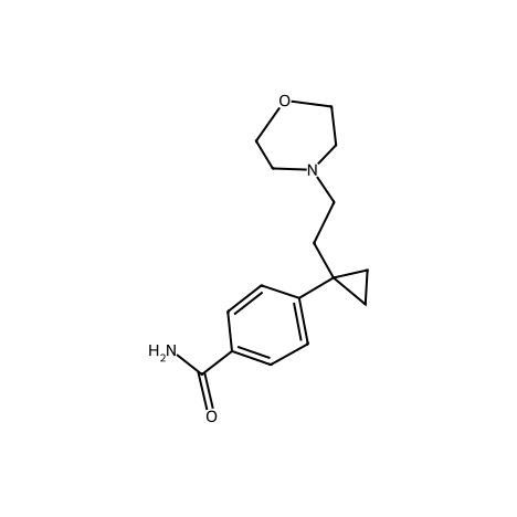 NC(=O)c1ccc(C2(CCN3CCOCC3)CC2)cc1